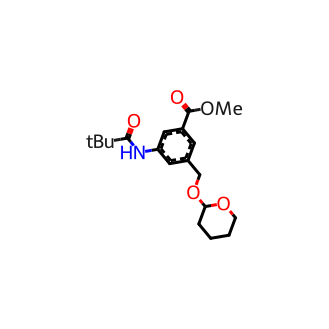 COC(=O)c1cc(COC2CCCCO2)cc(NC(=O)C(C)(C)C)c1